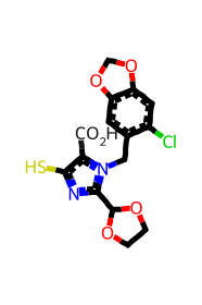 O=C(O)c1c(S)nc(C2OCCO2)n1Cc1cc2c(cc1Cl)OCO2